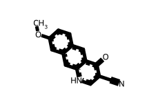 COc1ccc2cc3c(=O)c(C#N)c[nH]c3cc2c1